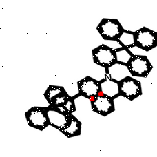 c1ccc(-c2ccccc2N(c2ccc(-c3ccc4c(c3)-c3c5cccc3-c3cccc-4c3-c3ccccc3-5)cc2)c2cccc3c2-c2ccccc2C32c3ccccc3-c3ccccc32)cc1